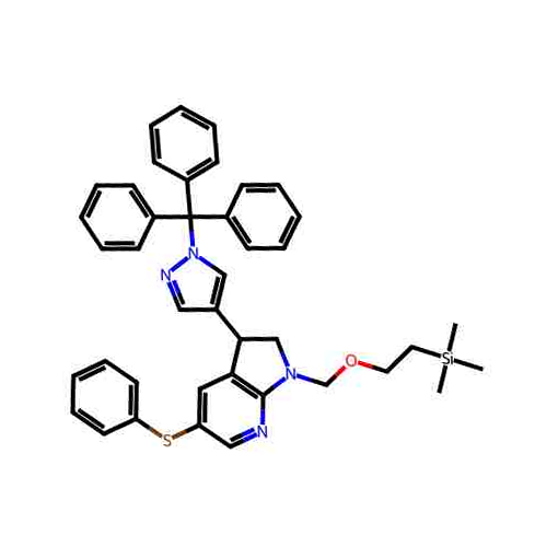 C[Si](C)(C)CCOCN1CC(c2cnn(C(c3ccccc3)(c3ccccc3)c3ccccc3)c2)c2cc(Sc3ccccc3)cnc21